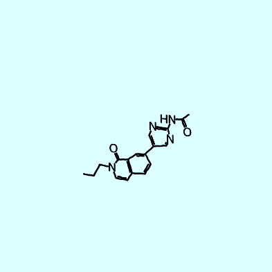 CCCn1ccc2ccc(-c3cnc(NC(C)=O)nc3)cc2c1=O